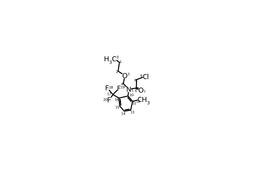 CCCOCN(C(=O)CCl)c1c(C)cccc1C(F)(F)F